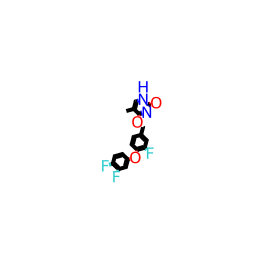 Cc1c[nH]c(=O)nc1OCc1ccc(Oc2ccc(F)c(F)c2)c(F)c1